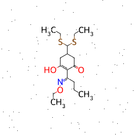 CCC/C(=N\OCC)C1=C(O)CC(C(SCC)SCC)CC1=O